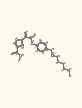 C=C(OC)c1csc(C(=C)C(C)Oc2ccc(COCCCCCC)cc2)n1